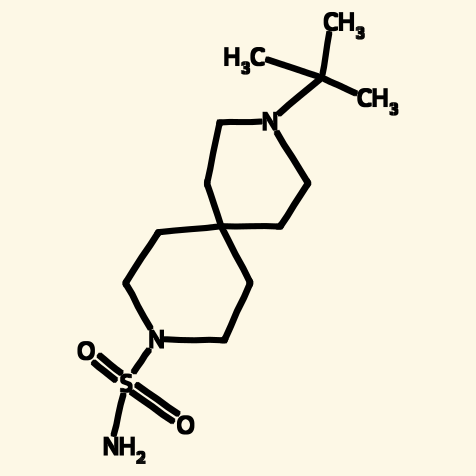 CC(C)(C)N1CCC2(CC1)CCN(S(N)(=O)=O)CC2